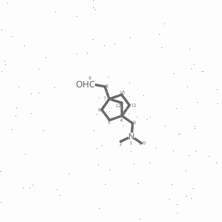 CN(C)CC12CCC(CC=O)(CC1)C2